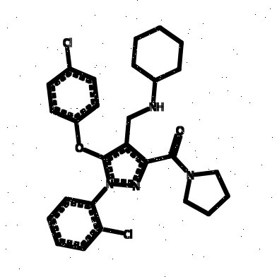 O=C(c1nn(-c2ccccc2Cl)c(Oc2ccc(Cl)cc2)c1CNC1CCCCC1)N1CCCC1